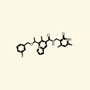 Cc1cc(C)c(CNC(=O)c2cc3cccn3c(C(C)OCc3cccc(F)c3)c2C)c(=O)[nH]1